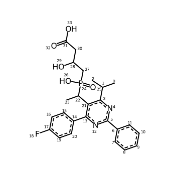 CC(C)c1nc(-c2ccccc2)nc(-c2ccc(F)cc2)c1C(C)P(=O)(O)CC(O)CC(=O)O